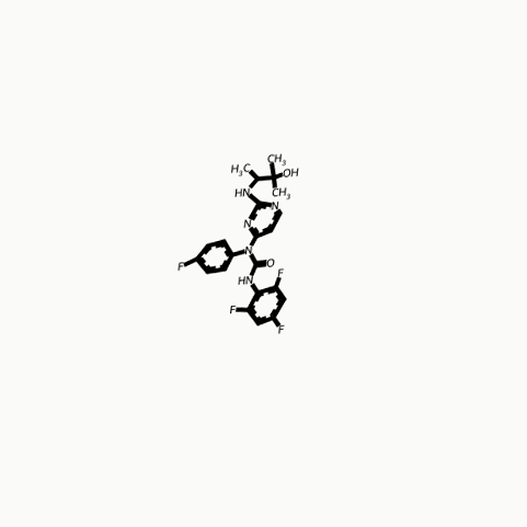 CC(Nc1nccc(N(C(=O)Nc2c(F)cc(F)cc2F)c2ccc(F)cc2)n1)C(C)(C)O